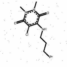 CC(C)CCCNc1c(Cl)c(=O)n(C)n(C)c1=O